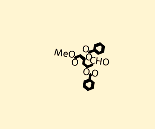 COC(=O)C=C(CC(CC=O)OC(=O)c1ccccc1)OC(=O)c1ccccc1